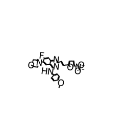 COc1ccc(Nc2nc(C=Cc3ccc([N+](=O)[O-])o3)nc3cc(F)c(N4CCOCC4)cc23)cc1